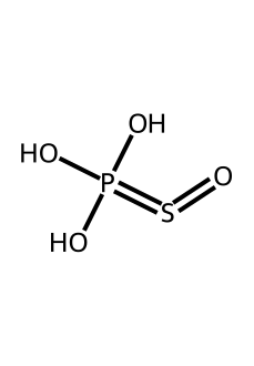 O=S=P(O)(O)O